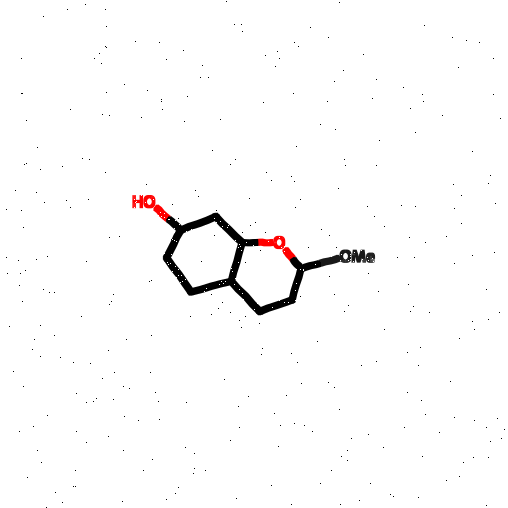 COC1CCC2CCC(O)CC2O1